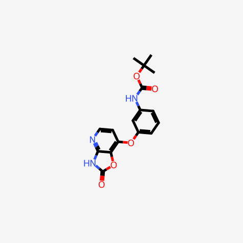 CC(C)(C)OC(=O)Nc1cccc(Oc2ccnc3[nH]c(=O)oc23)c1